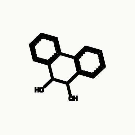 OC1c2ccccc2-c2ccccc2C1O